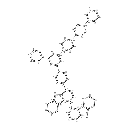 c1ccc(-c2cc(-c3ccc(-c4ccc(-c5cccc6oc7ccccc7c56)c5c4oc4ccccc45)cc3)nc(-c3ccc(-c4ccc(-c5cccnc5)cc4)cc3)n2)cc1